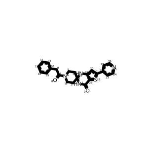 O=C1NC2(CCN(C(=O)Cc3ccccc3)CC2)Nc2cc(-c3ccncc3)sc21